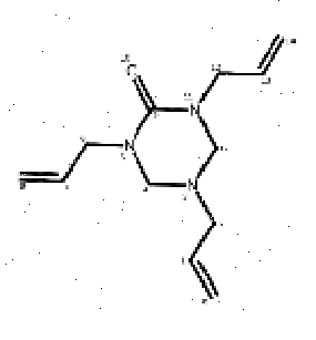 C=CCN1CN(CC=C)C(=O)N(CC=C)C1